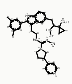 CCNC(Cc1ccc2[nH]c(-c3cc(C)cc(C)c3)c(CCNC(=NC#N)N3CCC(c4ccncc4)C3)c2c1)C1(C(=O)O)CC1